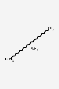 CCCCCCCCCCCCCCCCCCCCCC(=O)O.[PbH2]